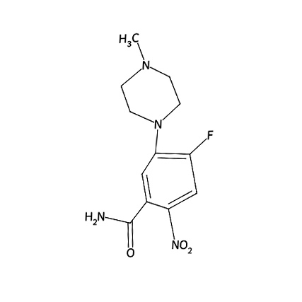 CN1CCN(c2cc(C(N)=O)c([N+](=O)[O-])cc2F)CC1